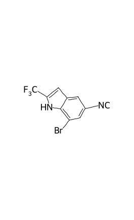 [C-]#[N+]c1cc(Br)c2[nH]c(C(F)(F)F)cc2c1